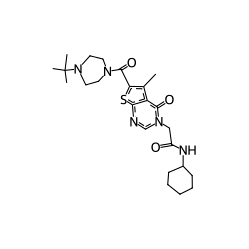 Cc1c(C(=O)N2CCN(C(C)(C)C)CC2)sc2ncn(CC(=O)NC3CCCCC3)c(=O)c12